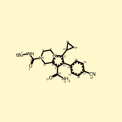 CC(C)(C)NC(=O)N1CCn2c(c(C(N)=O)c(-c3ccc(C#N)cc3)c2C2CC2)C1